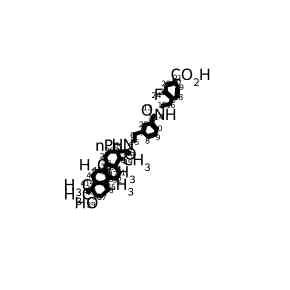 CCCC1(C(=O)NCCc2cccc(C(=O)NCCc3ccc(C(=O)O)cc3F)c2)CC[C@]2(C)C(CCC3C4(C)CCC(O)C(C)(C)C4CCC32C)C1C